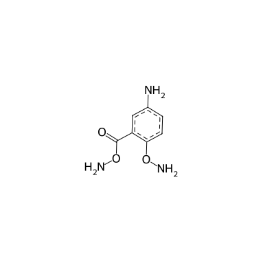 NOC(=O)c1cc(N)ccc1ON